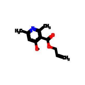 C=CCOC(=O)c1c([O])cc(C)nc1C